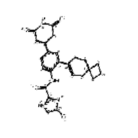 O=C1CC(c2ccc(NC(=O)c3nc(Cl)c[nH]3)c(C3=CCC4(CCC4)CC3)c2)CC(=O)N1